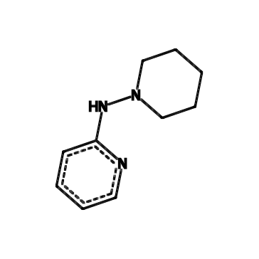 c1ccc(NN2CCCCC2)nc1